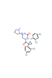 CN1CCCC1CCN(C(=O)C1(c2ccc(Cl)cc2Cl)CC1)[C@@H](Cc1ccc(Cl)cc1Cl)C(N)=O